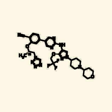 C[C@@H](Cn1cnnn1)Oc1cc(-c2cnc(Nc3cn(C4CCN(C5CCOCC5)CC4)nc3OCC(F)(F)F)nc2)ccc1C#N